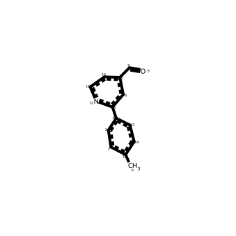 Cc1ccc(-c2cc([C]=O)ccn2)cc1